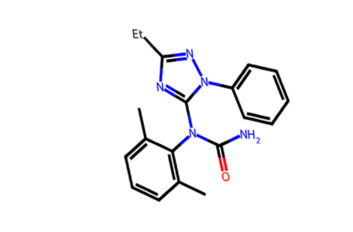 CCc1nc(N(C(N)=O)c2c(C)cccc2C)n(-c2ccccc2)n1